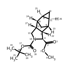 COC(=O)[C@@H]1[C@H]2[C@@H]3C[C@@H]([C@H]4C[C@H]43)[C@H]2CN1C(=O)OC(C)(C)C